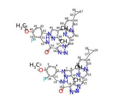 COc1ccc(-n2cc(C)c(C)n2)c(CNC(=O)c2cn(Cc3cn4cc(C5CC5)ccc4n3)nn2)c1F.COc1ccc(-n2cc(C)c(C)n2)c(CNC(=O)c2cn(Cc3cn4cc(C5CC5)ccc4n3)nn2)c1F